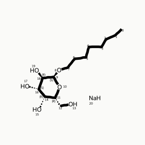 CCCCCCCCO[C@H]1O[C@H](CO)[C@H](O)[C@H](O)[C@H]1O.[NaH]